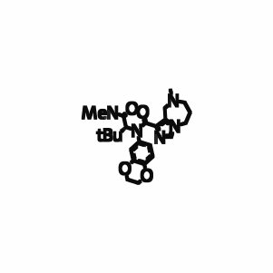 CNC(=O)[C@@H](N(C(=O)c1ncn2c1CN(C)CCC2)c1ccc2c(c1)OCCO2)C(C)(C)C